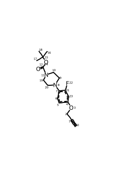 C#CCOc1ccc(N2CCN(C(=O)OC(C)(C)C)CC2)c(F)c1